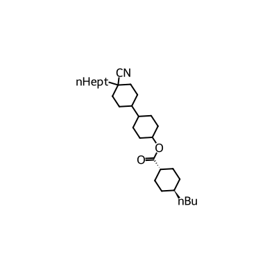 CCCCCCCC1(C#N)CCC(C2CCC(OC(=O)[C@H]3CC[C@H](CCCC)CC3)CC2)CC1